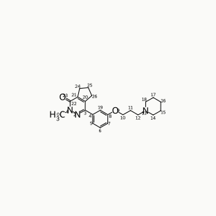 Cn1nc(-c2cccc(OCCCN3CCCCC3)c2)c2c(c1=O)CCC2